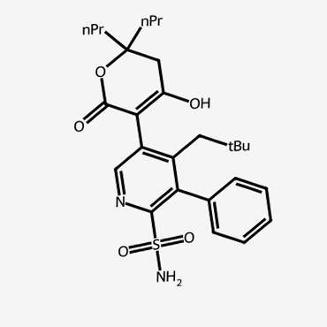 CCCC1(CCC)CC(O)=C(c2cnc(S(N)(=O)=O)c(-c3ccccc3)c2CC(C)(C)C)C(=O)O1